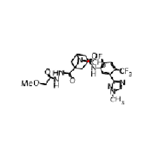 COCC(=O)NNC(=O)C12CC(C)CC(C1)N2C(=O)Nc1cc(-c2ncn(C)n2)c(C(F)(F)F)cc1F